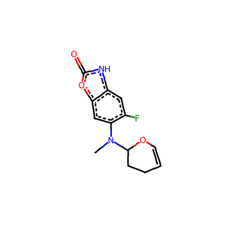 CN(c1cc2oc(=O)[nH]c2cc1F)C1CCC=CO1